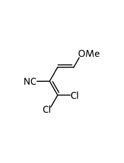 COC=CC(C#N)=C(Cl)Cl